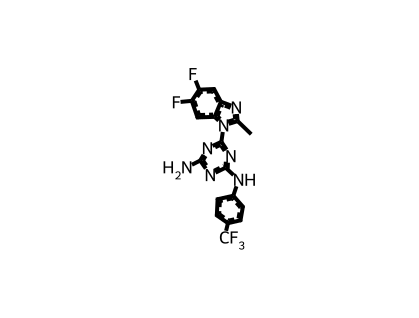 Cc1nc2cc(F)c(F)cc2n1-c1nc(N)nc(Nc2ccc(C(F)(F)F)cc2)n1